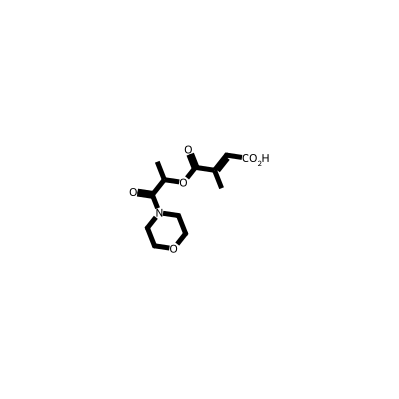 C/C(=C\C(=O)O)C(=O)OC(C)C(=O)N1CCOCC1